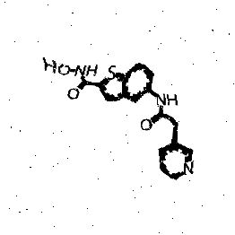 O=C(Cc1cccnc1)Nc1ccc2sc(C(=O)NO)cc2c1